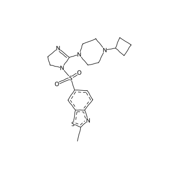 Cc1nc2ccc(S(=O)(=O)N3CCN=C3N3CCN(C4CCC4)CC3)cc2s1